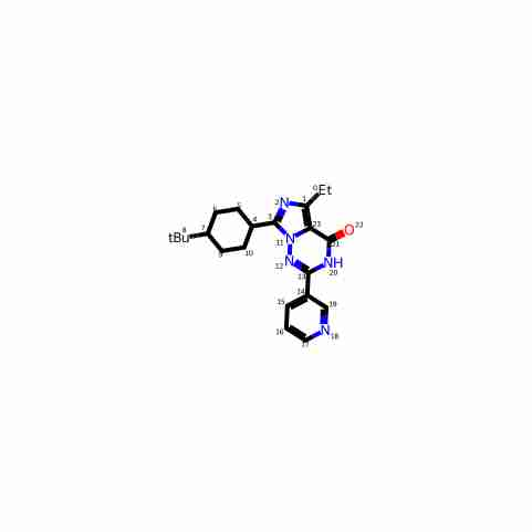 CCc1nc(C2CCC(C(C)(C)C)CC2)n2nc(-c3cccnc3)[nH]c(=O)c12